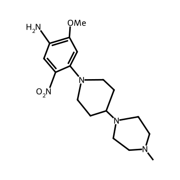 COc1cc(N2CCC(N3CCN(C)CC3)CC2)c([N+](=O)[O-])cc1N